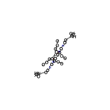 COCCOCCOc1cc(CC2(Cc3cc(OCCOCCOC)cc(OCCOCCOC)c3)c3cc(/C=C/c4ccc(/C=C/c5ccc(OCCCCNC(=O)OC(C)(C)C)cc5)cc4)ccc3-c3ccc(/C=C/c4ccc(/C=C/c5ccc(OCCCCNC(=O)OC(C)(C)C)cc5)cc4)cc32)cc(OCCOCCOC)c1